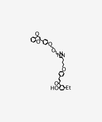 CCc1ccc(O)c(C(=O)/C=C/c2ccc(OCCCCc3cn(CCOCCOc4ccc(-c5cc(=O)c6ccccc6o5)cc4)nn3)cc2)c1